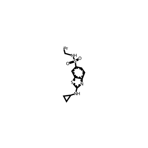 CC(C)CNS(=O)(=O)c1ccc2nc(NC3CC3)sc2c1